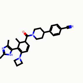 Cc1nc(C)c(C2=C(N3CCC3)C=CC(C(=O)N3CCC(c4ccc(C#N)cc4)CC3)C2C)[nH]1